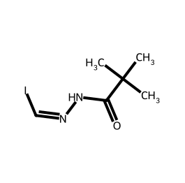 CC(C)(C)C(=O)N/N=C\I